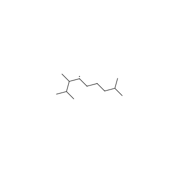 CC(C)CCC[CH]C(C)C(C)C